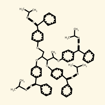 CC(C)N=C=C(c1ccccc1)c1ccc(OCC(Oc2ccc(C(=C=NC(C)C)c3ccccc3)cc2)C(Oc2ccc(C(=C=NC(C)C)c3ccccc3)cc2)C(C)Oc2ccc(C(=C=NC(C)C)c3ccccc3)cc2)cc1